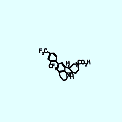 O=C(O)N1CC[C@H]2[C@@H](C1)c1cc(-c3ccc(C(F)(F)F)cc3C(F)(F)F)cc3c1N2CCC3